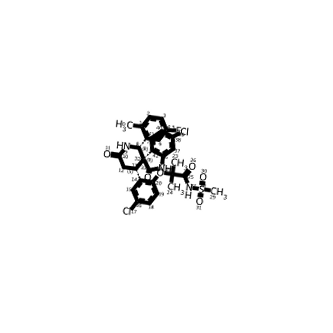 Cc1ccc(F)cc1[C@H]1NC(=O)C[C@@H](c2cc(Cl)ccc2OC(C)(C)C(=O)NS(C)(=O)=O)[C@]12C(=O)Nc1cc(Cl)ccc12